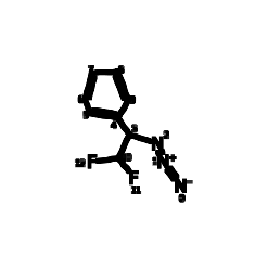 [N-]=[N+]=NC(c1ccccc1)C(F)F